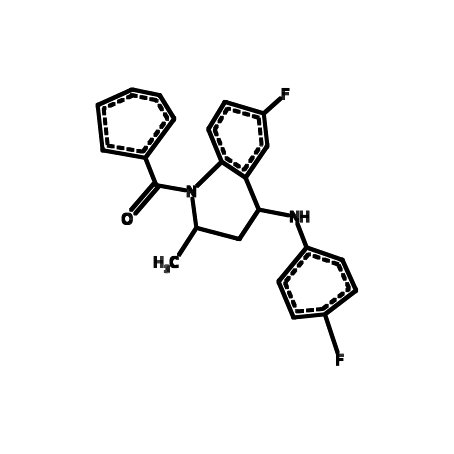 CC1CC(Nc2ccc(F)cc2)c2cc(F)ccc2N1C(=O)c1ccccc1